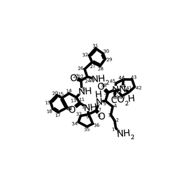 NCCCCC(NC(=O)C1(NC(=O)C(Cc2ccccc2)NC(=O)C(N)Cc2ccccc2)CCCC1)C(=O)N1CC2CCC(C1)N2CC(=O)O